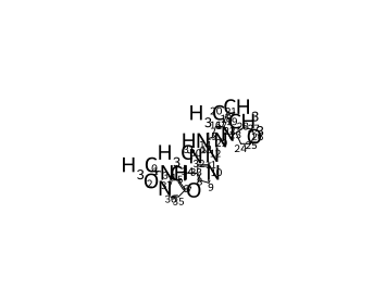 CC(=O)Nc1cc(Oc2cnc3nc(Nc4cc(C(C)(C)C)n(C5CCOCC5)n4)n(C)c3c2Cl)ccn1